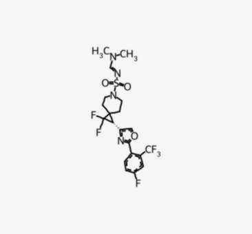 CN(C)C=NS(=O)(=O)N1CCC2(CC1)[C@H](c1coc(-c3ccc(F)cc3C(F)(F)F)n1)C2(F)F